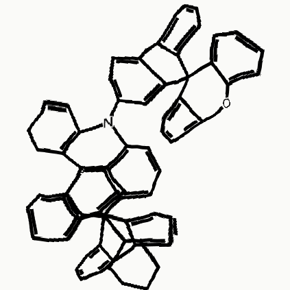 C1=CC(N(c2ccc3c(c2)C2(c4ccccc4Oc4ccccc42)c2ccccc2-3)c2cccc3c2Sc2ccccc2C32c3ccccc3-c3ccccc32)=C(c2ccc(C3CCCCC3)cc2)CC1